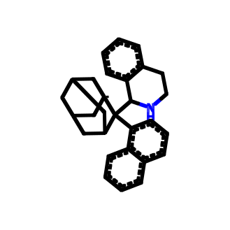 c1ccc2c(c1)CCNC2C1(c2cccc3ccccc23)[C]2CC3CC(C2)CC1C3